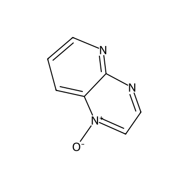 [O-][n+]1ccnc2ncccc21